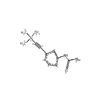 CC(C)(C)C(=O)Nc1ccnc(C#C[Si](C)(C)C)c1